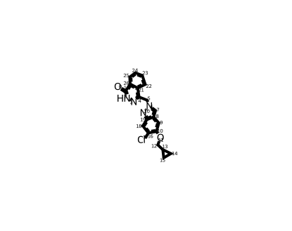 O=c1[nH]nc(Cn2cc3cc(OCC4CC4)c(Cl)cc3n2)c2ccccc12